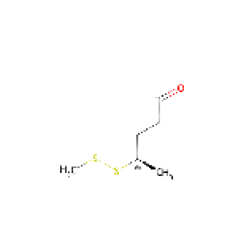 CSS[C@H](C)CC[C]=O